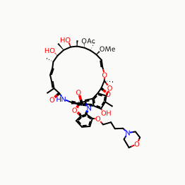 CO[C@H]1/C=C/O[C@@]2(C)Oc3c(C)c(O)c4c(=O)c(c5oc6cccc(OCCCCN7CCOCC7)c6nc-5c4c3C2=O)NC(=O)/C(C)=C\C=C\[C@H](C)[C@H](O)[C@@H](C)[C@@H](O)[C@@H](C)[C@H](OC(C)=O)[C@@H]1C